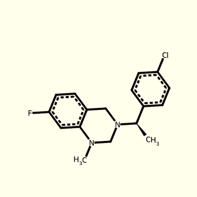 C[C@H](c1ccc(Cl)cc1)N1Cc2ccc(F)cc2N(C)C1